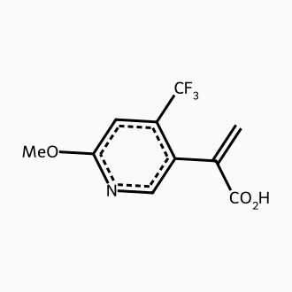 C=C(C(=O)O)c1cnc(OC)cc1C(F)(F)F